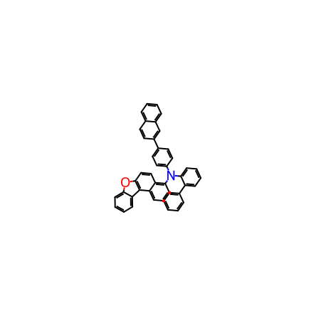 c1ccc(-c2ccccc2N(c2ccc(-c3ccc4ccccc4c3)cc2)c2cccc3c2ccc2oc4ccccc4c23)cc1